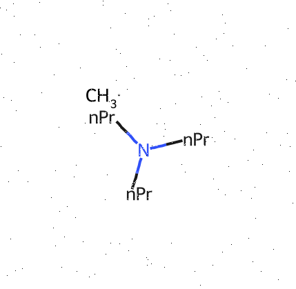 CCCN(CCC)CCC.[CH3]